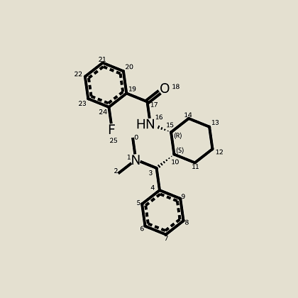 CN(C)C(c1ccccc1)[C@H]1CCCC[C@H]1NC(=O)c1ccccc1F